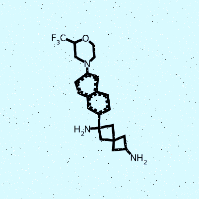 NC1CC2(C1)CC(N)(c1ccc3cc(N4CCOC(C(F)(F)F)C4)ccc3c1)C2